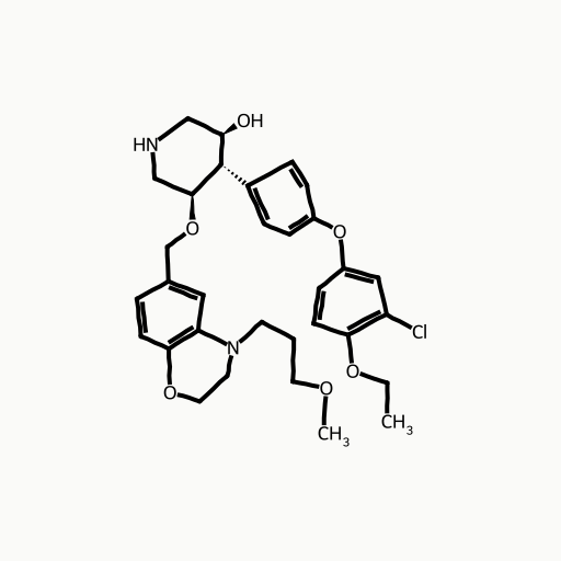 CCOc1ccc(Oc2ccc([C@H]3[C@H](O)CNC[C@@H]3OCc3ccc4c(c3)N(CCCOC)CCO4)cc2)cc1Cl